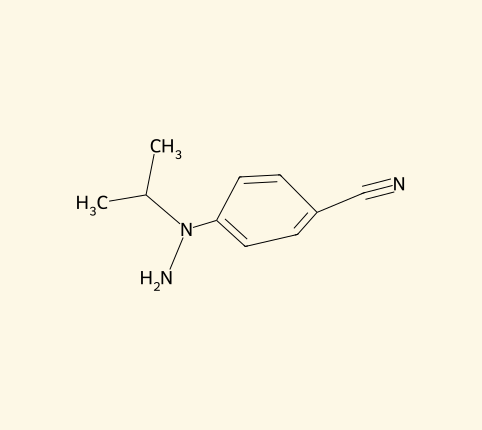 CC(C)N(N)c1ccc(C#N)cc1